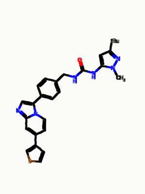 Cn1nc(C(C)(C)C)cc1NC(=O)NCc1ccc(-c2cnc3cc(-c4ccsc4)ccn23)cc1